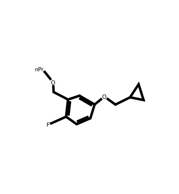 CCCOCc1cc(OCC2CC2)ccc1F